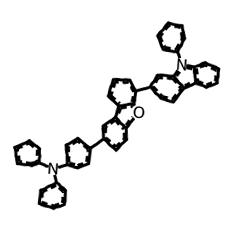 c1ccc(N(c2ccccc2)c2ccc(-c3ccc4oc5c(-c6ccc7c8ccccc8n(-c8ccccc8)c7c6)cccc5c4c3)cc2)cc1